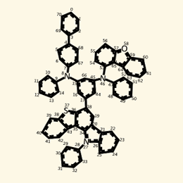 c1ccc(-c2ccc(N(c3ccccc3)c3cc(-c4cc5c6ccccc6n(-c6ccccc6)c5c5c4sc4ccccc45)cc(N(c4ccccc4)c4cccc5oc6ccccc6c45)c3)cc2)cc1